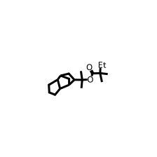 CCC(C)(C)C(=O)OC(C)(C)C1CC2CC1C1CCCC21